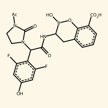 CC(=O)N1CCN(C(C(=O)NC2Cc3cccc(C(=O)O)c3OB2O)c2c(F)cc(O)cc2F)C1=O